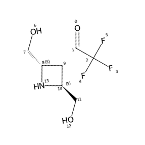 O=CC(F)(F)F.OC[C@@H]1C[C@@H](CO)N1